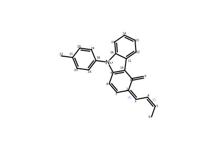 C=c1/c(=C\C=C/C)ccc2c1c1ccccc1n2-c1ccc(C)cc1